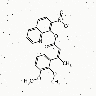 COc1cccc(C(C)=CC(=O)Oc2c([N+](=O)[O-])ccc3cccnc23)c1OC